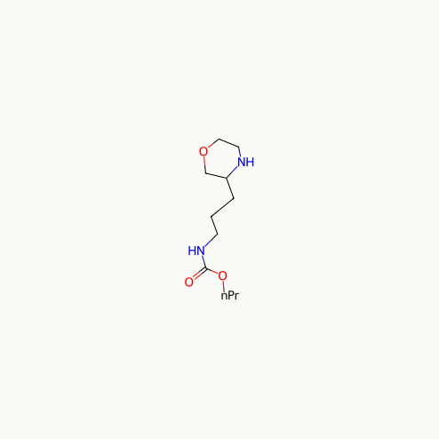 CCCOC(=O)NCCCC1COCCN1